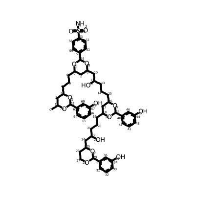 CC1CC(CCCC2CC(CC(O)CCCC3CC(CCCC(O)CC4CCOC(c5cccc(O)c5)O4)OC(c4cccc(O)c4)O3)OC(c3ccc(S(N)(=O)=O)cc3)O2)OC(c2cccc(O)c2)O1